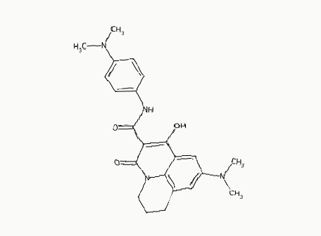 CN(C)c1ccc(NC(=O)c2c(O)c3cc(N(C)C)cc4c3n(c2=O)CCC4)cc1